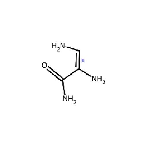 N/C=C(/N)C(N)=O